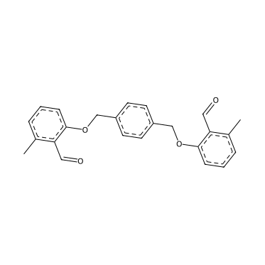 Cc1cccc(OCc2ccc(COc3cccc(C)c3C=O)cc2)c1C=O